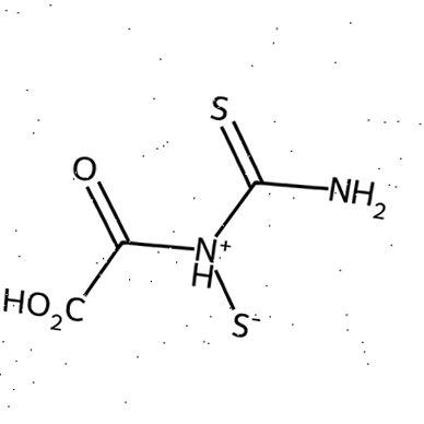 NC(=S)[NH+]([S-])C(=O)C(=O)O